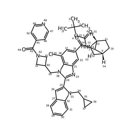 CC(C)(C)OC(=O)N[C@@H]1[C@@H]2CC[C@H]1N(C(=O)c1cc(Cl)c3c(c1)nc(-c1cc4ccccc4n1CC1CC1)n3CC1CN(C(=O)c3ccncc3)C1)C2